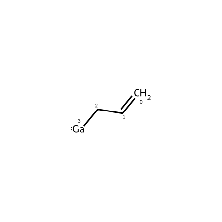 C=C[CH2][Ga]